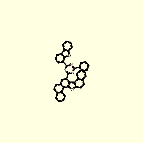 c1ccc(-c2nc(-c3cccc4c3oc3ccccc34)nc(-c3cc4ccc5ccccc5c4c4oc5ccc6ccccc6c5c34)n2)cc1